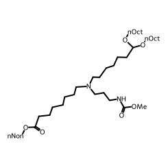 CCCCCCCCCOC(=O)CCCCCCCN(CCCCCCC(OCCCCCCCC)OCCCCCCCC)CCCNC(=O)OC